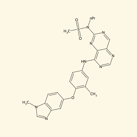 CCCN(c1ncc2ncnc(Nc3ccc(Oc4ccc5c(c4)ncn5C)c(C)c3)c2n1)S(C)(=O)=O